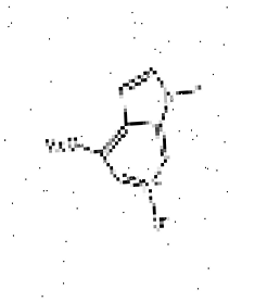 COc1c[n+]([O-])cc2c1ccn2C